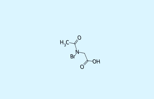 CC(=O)N(Br)CC(=O)O